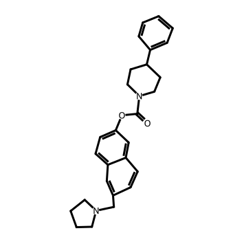 O=C(Oc1ccc2cc(CN3CCCC3)ccc2c1)N1CCC(c2ccccc2)CC1